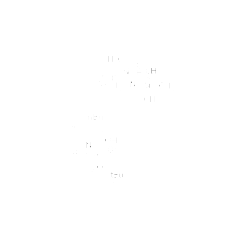 CCCCC1(C(O)c2ccc(N([Si](C)(C)C)[Si](C)(C)C)c(Cl)c2)CCCN1C(=O)OC(C)(C)C